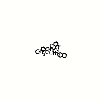 CC(C)N(Cc1ccc(N2CCCC2)cc1)C(=O)c1cnc(N2CCC3CCCCC3C2)nc1C1=C(F)C=CCC1